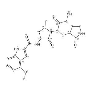 COc1cccc2[nH]c(C(=O)NC3CC(C)N(C(CC4CCNC4=O)C(=O)CO)C3=O)cc12